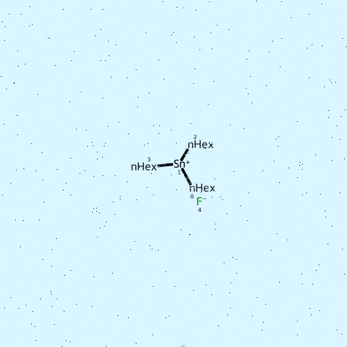 CCCCC[CH2][Sn+]([CH2]CCCCC)[CH2]CCCCC.[F-]